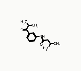 CC(C)CC(=O)Nc1cccc(C(=O)C(C)C)c1